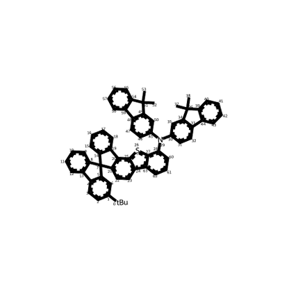 CC(C)(C)c1ccc2c(c1)C1(c3ccccc3-2)c2ccccc2-c2c1ccc1c2sc2c(N(c3ccc4c(c3)C(C)(C)c3ccccc3-4)c3ccc4c(c3)C(C)(C)c3ccccc3-4)cccc21